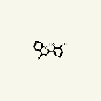 O=C1CC(c2cccc(O)c2O)Oc2ccccc21